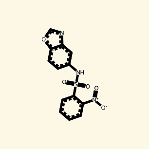 O=[N+]([O-])c1ccccc1S(=O)(=O)Nc1ccc2ocnc2c1